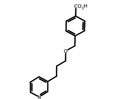 O=C(O)c1ccc(COCCCc2cccnc2)cc1